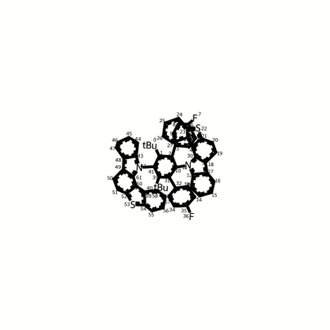 CC(C)(C)c1c(-c2ccc(F)cc2)c(-n2c3ccccc3c3ccc4sc5ccccc5c4c32)c(-c2ccc(F)cc2)c(C(C)(C)C)c1-n1c2ccccc2c2ccc3sc4ccccc4c3c21